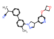 Cc1ccc(-c2cccc(C(C)C#N)c2)cc1N1CC(c2cncc(OC3COC3)c2)C=N1